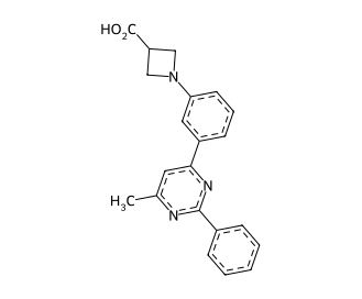 Cc1cc(-c2cccc(N3CC(C(=O)O)C3)c2)nc(-c2ccccc2)n1